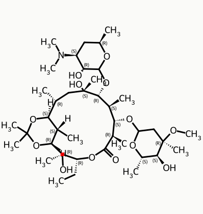 CC[C@H]1OC(=O)[C@H](C)[C@@H](OC2C[C@@](C)(OC)[C@@H](O)[C@H](C)O2)[C@H](C)[C@@H](OC2O[C@H](C)C[C@H](N(C)C)[C@H]2O)[C@@](C)(O)C[C@@H](C)[C@@H]2OC(C)(C)O[C@H]([C@H]2C)[C@]1(C)O